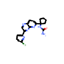 NC(=O)NC1(c2ccc3ncc(-c4cccc(Cl)n4)nc3n2)CCCC1